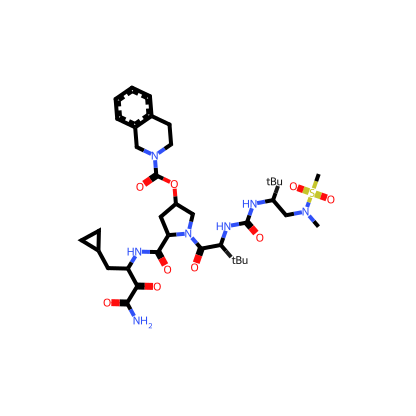 CN(CC(NC(=O)NC(C(=O)N1CC(OC(=O)N2CCc3ccccc3C2)CC1C(=O)NC(CC1CC1)C(=O)C(N)=O)C(C)(C)C)C(C)(C)C)S(C)(=O)=O